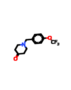 O=C1CCN(Cc2ccc(OC(F)(F)F)cc2)CC1